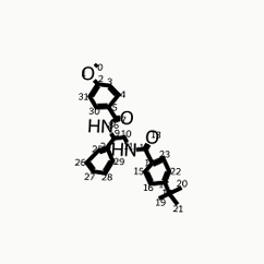 COc1ccc(C(=O)NC(CNC(=O)c2ccc(C(C)(C)C)cc2)c2ccccc2)cc1